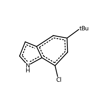 CC(C)(C)c1cc(Cl)c2[nH]ccc2c1